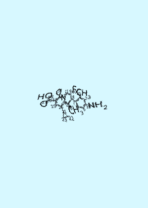 Cc1cc(N)ccc1-c1c(F)cn2c(=O)c(C(=O)O)cc(C3CC3)c2c1C